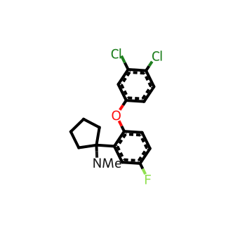 CNC1(c2cc(F)ccc2Oc2ccc(Cl)c(Cl)c2)CCCC1